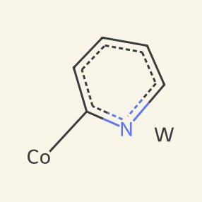 [Co][c]1ccccn1.[W]